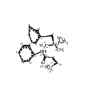 C[N+](C)(C)Cc1ccccc1.O=C(O)/C=C\C(=O)Nc1ccccc1